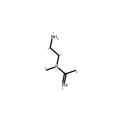 CC(=P)N(C)CCN